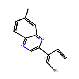 C=C/C(=C\CC)c1cnc2ccc(C)cc2n1